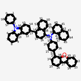 c1ccc(-n2c3ccccc3c3cc(-c4ccc(N(c5ccc(-c6cccc7c6oc6ccccc67)cc5)c5cccc6ccccc56)c5ccccc45)ccc32)cc1